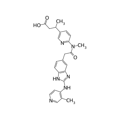 Cc1cnccc1Nc1nc2cc(CC(=O)N(C)c3ccc(C(C)CC(=O)O)cn3)ccc2[nH]1